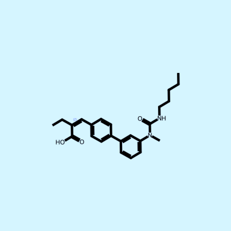 CCCCCNC(=O)N(C)c1cccc(-c2ccc(/C=C(/CC)C(=O)O)cc2)c1